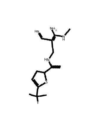 C=C(NC/C(C=N)=C(/N)NC)C1CC=C(C(C)(C)F)S1